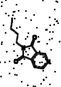 O=C1c2ccncc2C(=O)N1CCCI